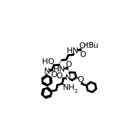 CC(C)(C)OC(=O)NCCCC[C@H](NC(=O)[C@@H]1C[C@@H](OCC2CCCCC2)CN1C(=O)[C@H](N)CCc1ccccc1)C(O)c1nc2ccccc2o1